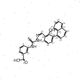 O=C(O)c1cccc(NC(=S)N/N=C\c2cccc(-c3cccc4ccccc34)c2O)c1